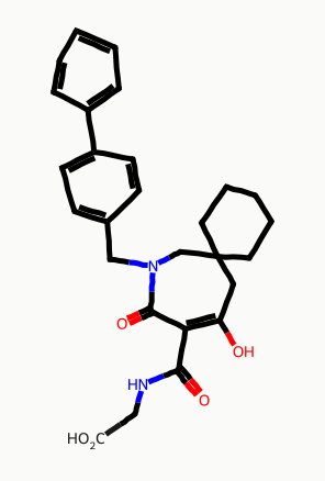 O=C(O)CNC(=O)C1=C(O)CC2(CCCCC2)CN(Cc2ccc(-c3ccccc3)cc2)C1=O